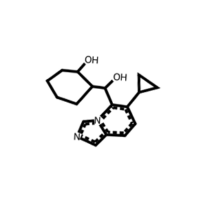 OC1CCCCC1C(O)c1c(C2CC2)ccc2cncn12